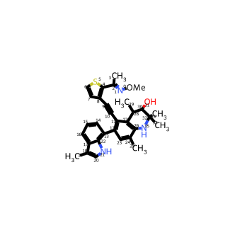 CON=C(C)c1sccc1C#Cc1c(-c2cccc3c(C)c[nH]c23)cc(C)c2c1C(C)C(O)C(C)(C)N2